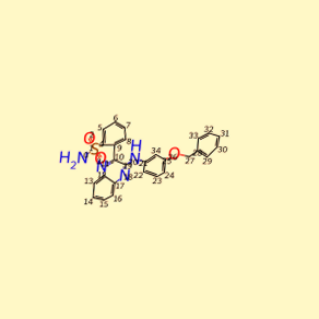 NS(=O)(=O)c1ccccc1-c1nc2ccccc2nc1Nc1cccc(OCc2ccccc2)c1